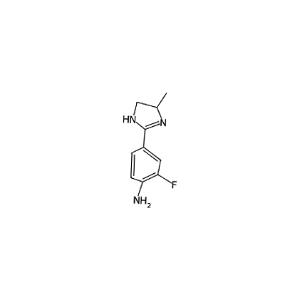 CC1CNC(c2ccc(N)c(F)c2)=N1